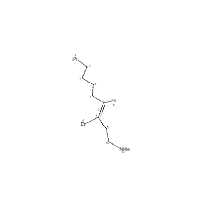 CC/C(CCCCC(C)C)=C(/CC)CCNC